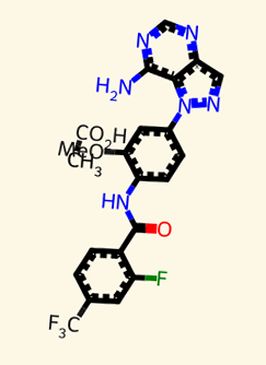 CC(=O)O.COc1cc(-n2ncc3ncnc(N)c32)ccc1NC(=O)c1ccc(C(F)(F)F)cc1F